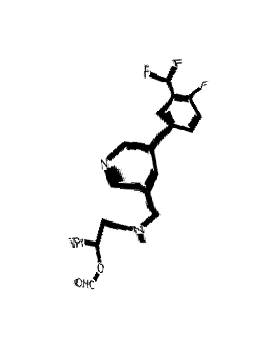 CC(C)C(CN(C)Cc1cncc(-c2ccc(F)c(C(F)F)c2)c1)OC=O